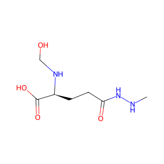 CNNC(=O)CC[C@H](NCO)C(=O)O